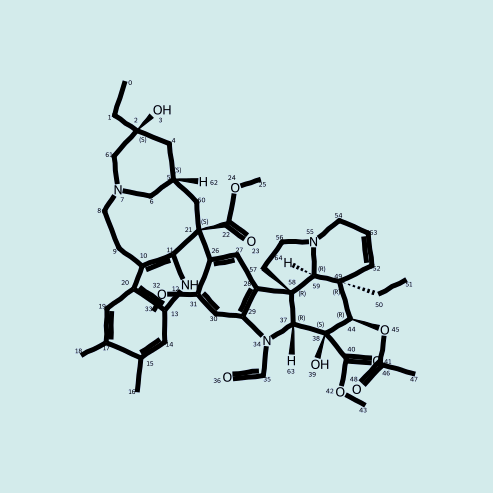 CC[C@]1(O)C[C@H]2CN(CCc3c([nH]c4cc(C)c(C)cc34)[C@@](C(=O)OC)(c3cc4c(cc3OC)N(C=O)[C@H]3[C@@](O)(C(=O)OC)[C@H](OC(C)=O)[C@]5(CC)C=CCN6CC[C@]43[C@@H]65)C2)C1